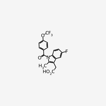 Cc1c(CC(=O)O)c2cc(F)ccc2n1C(=O)c1ccc(OC(F)(F)F)cc1